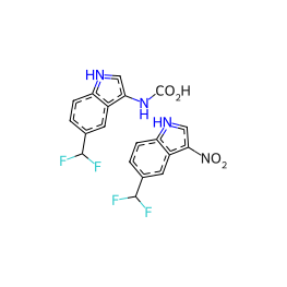 O=C(O)Nc1c[nH]c2ccc(C(F)F)cc12.O=[N+]([O-])c1c[nH]c2ccc(C(F)F)cc12